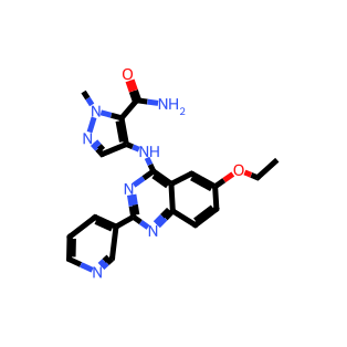 CCOc1ccc2nc(-c3cccnc3)nc(Nc3cnn(C)c3C(N)=O)c2c1